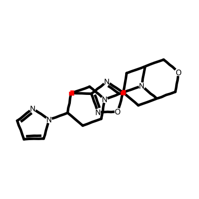 Cc1noc(N2C3COCC2CC(N2CCC(n4cccn4)CC2)C3)n1